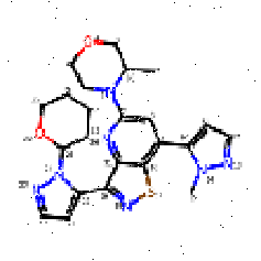 C[C@@H]1COCCN1c1cc(-c2ccnn2C)c2snc(-c3ccnn3C3CCCCO3)c2n1